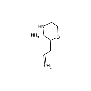 C=CCC1CNCCO1.N